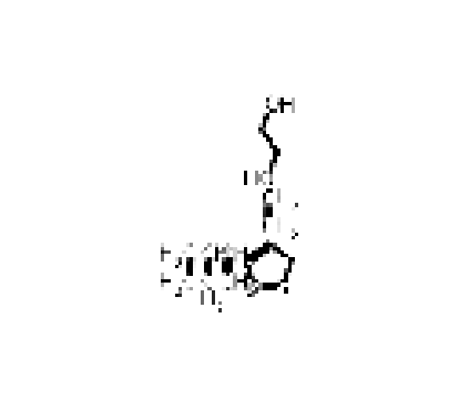 C1=CSSC1.C=C.C=C.C=C.C=C.OCCO